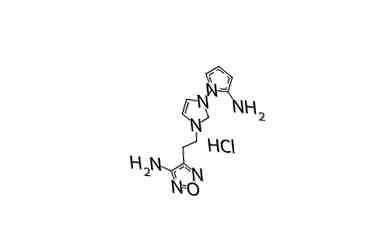 Cl.Nc1nonc1CCN1C=CN(n2cccc2N)C1